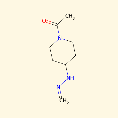 C=NNC1CCN(C(C)=O)CC1